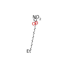 CCC=CCC=CCC=CCC=CCC=CCC=CCCC(=O)Oc1ccc([N+](=O)[O-])cc1